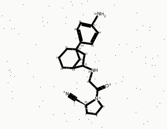 N#C[C@@H]1CCCN1C(=O)CNC1CC2(c3ccc(N)cc3)CCCC1C2